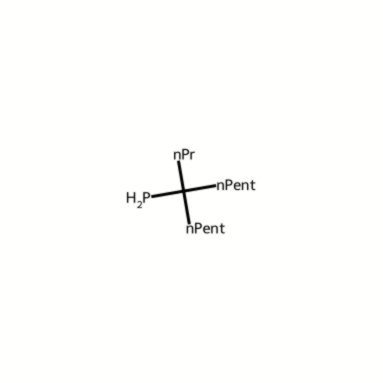 CCCCCC(P)(CCC)CCCCC